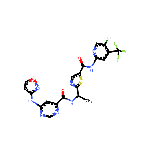 CC(NC(=O)c1cc(Nc2ccon2)ncn1)c1ncc(C(=O)Nc2cc(C(F)(F)F)c(Cl)cn2)s1